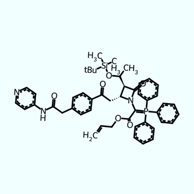 C=CCOC(=O)C(N1C(=O)[C@H](C(C)O[Si](C)(C)C(C)(C)C)[C@H]1CC(=O)c1ccc(CC(=O)Nc2ccncc2)cc1)=P(c1ccccc1)(c1ccccc1)c1ccccc1